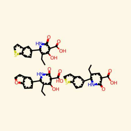 CCc1c(-c2ccc3occc3c2)[nH]c(=O)c(C(=O)O)c1O.CCc1c(-c2ccc3sccc3c2)[nH]c(=O)c(C(=O)O)c1O.CCc1cc(C(=O)O)c(=O)[nH]c1-c1ccc2sccc2c1